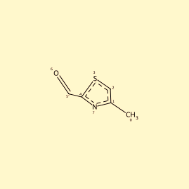 Cc1csc([C]=O)n1